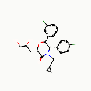 O=C1[C@H](C[C@H](O)CO)OC(c2cccc(Cl)c2)[C@H](c2ccc(Cl)cc2)N1CC1CC1